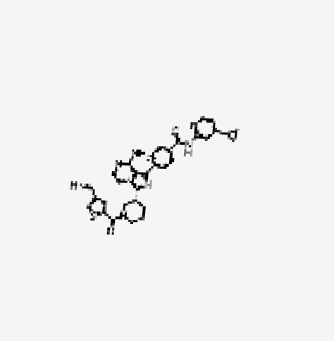 N=Cc1csc(C(=O)N2CCC[C@@H](c3nc(-c4ccc(C(=O)Nc5cc(C6CC6)ccn5)cc4)c4c(N)nccn34)C2)c1